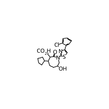 O=C(O)CC1C(=O)N(c2nc(-c3ccccc3Cl)cs2)CC(O)CCC1C1CCCC1